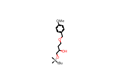 COc1ccc(COCCC(O)CO[Si](C)(C)C(C)(C)C)cc1